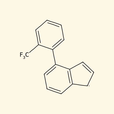 FC(F)(F)c1ccccc1-c1cccc2c1C=C[CH]2